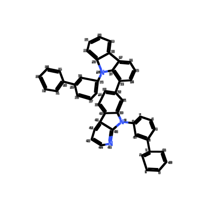 c1ccc(-c2cccc(-n3c4cc(-c5cccc6c7ccccc7n(-c7cccc(-c8ccccc8)c7)c56)ccc4c4cccnc43)c2)cc1